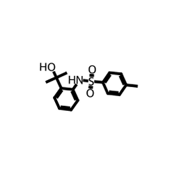 Cc1ccc(S(=O)(=O)Nc2ccccc2C(C)(C)O)cc1